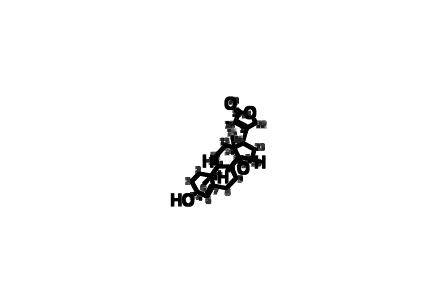 C[C@]12CC[C@H](O)C=C1CC[C@@H]1[C@@H]2CC[C@]2(C)[C@@H](C3=CC(=O)OC3)C[C@H]3O[C@]132